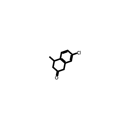 CC1CC(=O)Cc2cc(Cl)ccc21